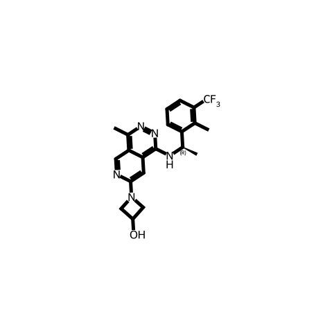 Cc1c([C@@H](C)Nc2nnc(C)c3cnc(N4CC(O)C4)cc23)cccc1C(F)(F)F